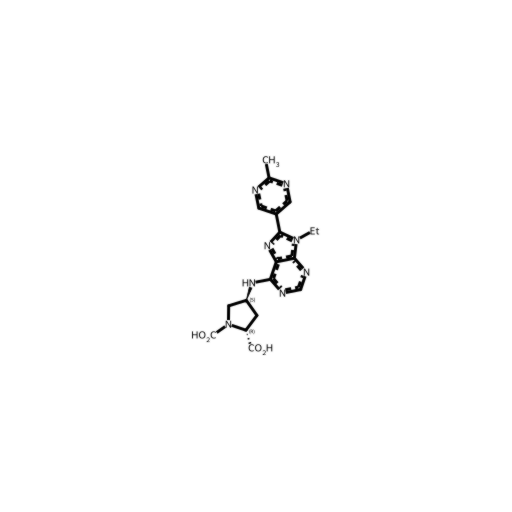 CCn1c(-c2cnc(C)nc2)nc2c(N[C@H]3C[C@H](C(=O)O)N(C(=O)O)C3)ncnc21